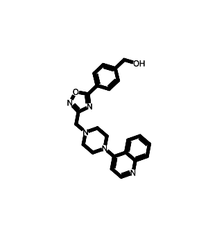 OCc1ccc(-c2nc(CN3CCN(c4ccnc5ccccc45)CC3)no2)cc1